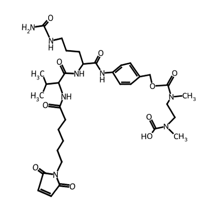 CC(C)C(NC(=O)CCCCCN1C(=O)C=CC1=O)C(=O)NC(CCCNC(N)=O)C(=O)Nc1ccc(COC(=O)N(C)CCN(C)C(=O)O)cc1